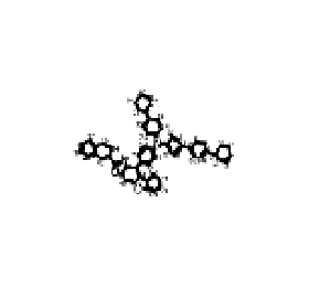 c1ccc(-c2ccc(-c3ccc(N(c4ccc(-c5ccccc5)cc4)c4ccc(-c5c6nc(-c7ccc8ccccc8c7)oc6cc6oc7ccccc7c56)cc4)cc3)cc2)cc1